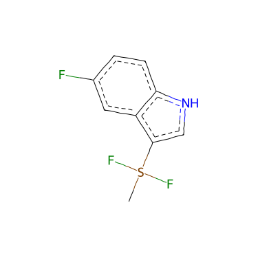 CS(F)(F)c1c[nH]c2ccc(F)cc12